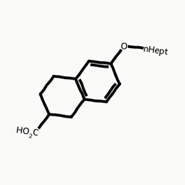 CCCCCCCOc1ccc2c(c1)CCC(C(=O)O)C2